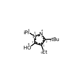 CCc1c(C(C)(C)C)nn(C(C)C)c1O